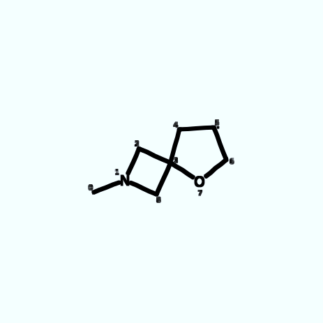 CN1CC2(C[CH]CO2)C1